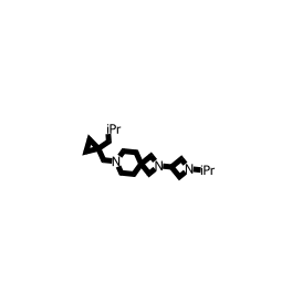 CC(C)CC1(CN2CCC3(CC2)CN(C2CN(C(C)C)C2)C3)CC1